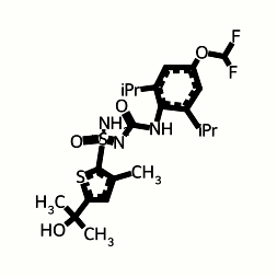 Cc1cc(C(C)(C)O)sc1[S@@](N)(=O)=NC(=O)Nc1c(C(C)C)cc(OC(F)F)cc1C(C)C